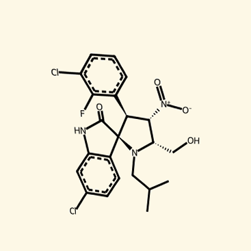 CC(C)CN1[C@@H](CO)[C@@H]([N+](=O)[O-])[C@H](c2cccc(Cl)c2F)[C@]12C(=O)Nc1cc(Cl)ccc12